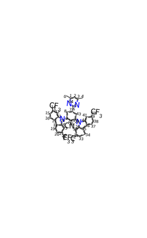 Cc1cc(C)nc(-c2cc(-n3c4cc(C(F)(F)F)ccc4c4ccc(C(F)(F)F)cc43)c(C#N)c(-n3c4cc(C(F)(F)F)ccc4c4ccc(C(F)(F)F)cc43)c2)n1